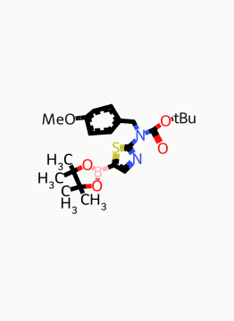 COc1ccc(CN(C(=O)OC(C)(C)C)c2ncc(B3OC(C)(C)C(C)(C)O3)s2)cc1